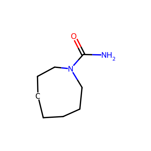 NC(=O)N1CCCCCCC1